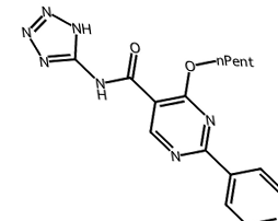 CCCCCOc1nc(-c2ccccc2)ncc1C(=O)Nc1nnn[nH]1